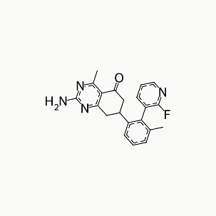 Cc1cccc(C2CC(=O)c3c(C)nc(N)nc3C2)c1-c1cccnc1F